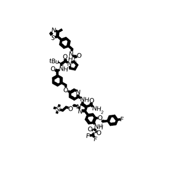 Cc1ncsc1-c1ccc(CNC(=O)[C@@H]2CCCN2C(=O)[C@@H](NC(=O)c2cccc(COc3ccc(Nc4c(C(N)=O)c(-c5ccc(NS(=O)(=O)C(F)F)c(O[C@@H](C)c6ccc(F)cc6)c5)nn4COCC[Si](C)(C)C)nc3)c2)C(C)(C)C)cc1